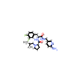 CC(C)CN1CCC[C@@H]1C(=O)N[C@@H](Cc1ccc(F)c(F)c1)C(=O)NCc1ccc(N)nc1